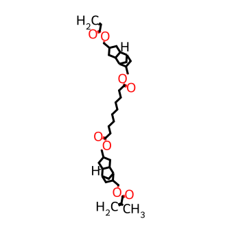 C=CC(=O)OCC1CC2C3CC(CC3COC(=O)CCCCCCCCC(=O)OCC3CC4C5CC(CC5COC(=O)C(=C)C)[C@H]4C3)[C@H]2C1